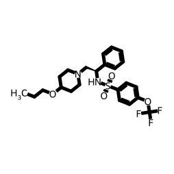 CCCOC1CCN(C[C@H](NS(=O)(=O)c2ccc(OC(F)(F)F)cc2)c2ccccc2)CC1